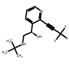 CC(C)(C)NC[C@H](O)c1cccnc1C#CC(F)(F)F